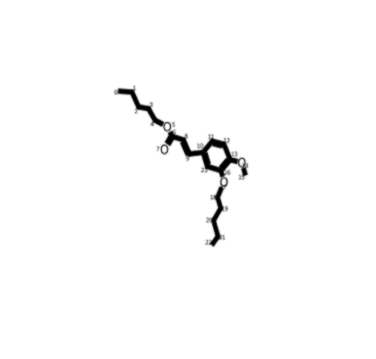 CCCCCOC(=O)C=Cc1ccc(OC)c(OCCCCC)c1